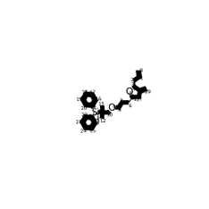 C=CC[C@@H]1O[C@@H](CCCOCC(C)(C)[SiH](c2ccccc2)c2ccccc2)CC1=C